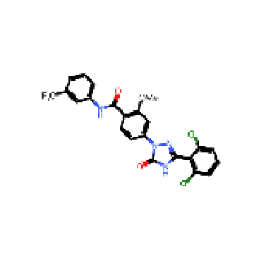 COc1cc(-n2nc(-c3c(Cl)cccc3Cl)[nH]c2=O)ccc1C(=O)Nc1cccc(C(F)(F)F)c1